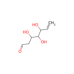 C=CC(O)C(O)C(O)CC=O